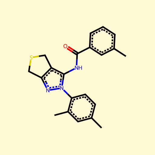 Cc1cccc(C(=O)Nc2c3c(nn2-c2ccc(C)cc2C)CSC3)c1